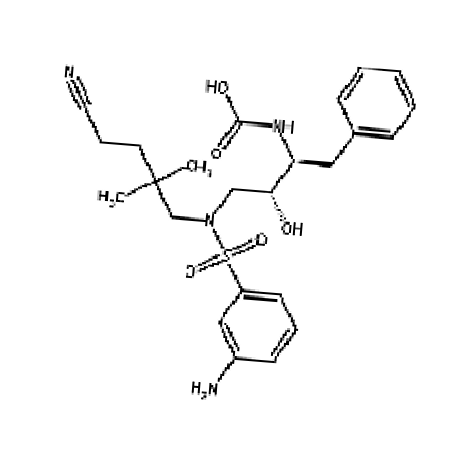 CC(C)(CCC#N)CN(C[C@@H](O)[C@H](Cc1ccccc1)NC(=O)O)S(=O)(=O)c1cccc(N)c1